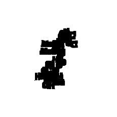 COc1ncc(-c2nc3c(n2CCCn2cc(CNC(=O)COCCOCC(=O)N[C@H](C(=O)N4C[C@H](O)C[C@H]4C(=O)N[C@@H](C)c4ccc(-c5scnc5C)cc4)C(C)(C)C)nn2)[C@@H](c2ccc(Cl)cc2)N(c2cc(Cl)cn(C)c2=O)C3=O)c(OC)n1